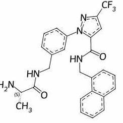 C[C@H](N)C(=O)NCc1cccc(-n2nc(C(F)(F)F)cc2C(=O)NCc2cccc3ccccc23)c1